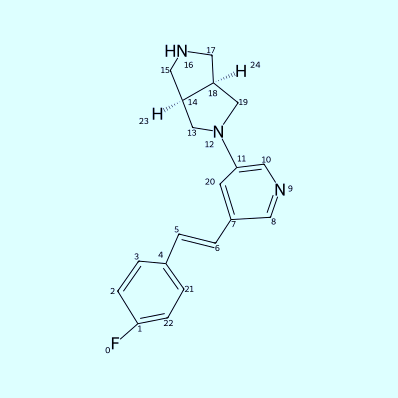 Fc1ccc(C=Cc2cncc(N3C[C@H]4CNC[C@H]4C3)c2)cc1